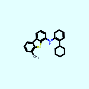 Cc1cccc2c1sc1c(NC3=C(C4CCCCC4)C=CCC3)cccc12